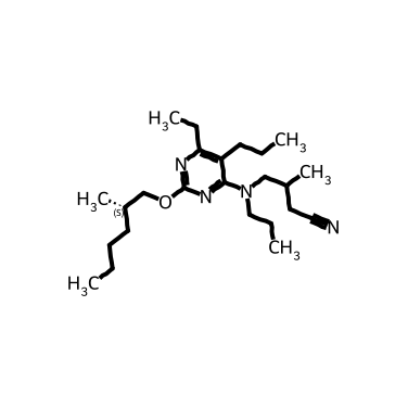 CCCC[C@H](C)COc1nc(CC)c(CCC)c(N(CCC)CC(C)CC#N)n1